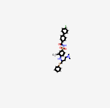 CN(C)CCC(CSc1ccccc1)Nc1ccc(S(=O)(=O)NC(=O)c2ccc(-c3ccc(F)cc3)cc2)cc1[N+](=O)[O-]